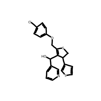 OC(C1=C(COc2ccc(Cl)cc2)SCC1c1ccsc1)c1cccnc1